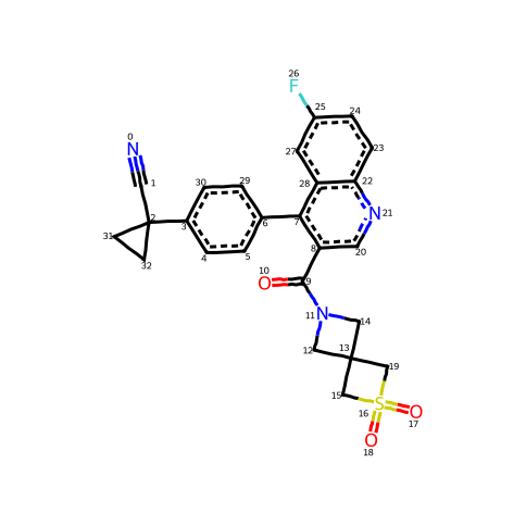 N#CC1(c2ccc(-c3c(C(=O)N4CC5(C4)CS(=O)(=O)C5)cnc4ccc(F)cc34)cc2)CC1